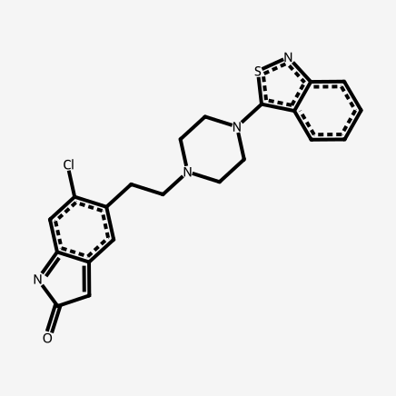 O=C1C=c2cc(CCN3CCN(c4snc5ccccc45)CC3)c(Cl)cc2=N1